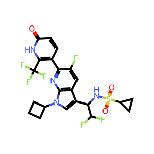 O=c1ccc(-c2nc3c(cc2F)c(C(NS(=O)(=O)C2CC2)C(F)F)cn3C2CCC2)c(C(F)(F)F)[nH]1